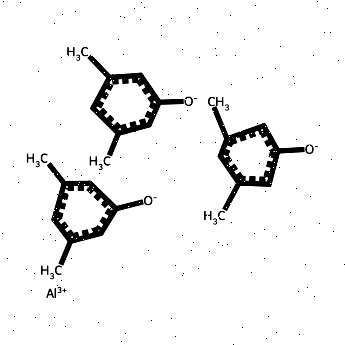 Cc1cc(C)cc([O-])c1.Cc1cc(C)cc([O-])c1.Cc1cc(C)cc([O-])c1.[Al+3]